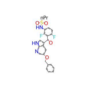 CCCS(=O)(=O)Nc1ccc(F)c(C(=O)c2c[nH]c3ncc(OCc4ccccc4)cc23)c1F